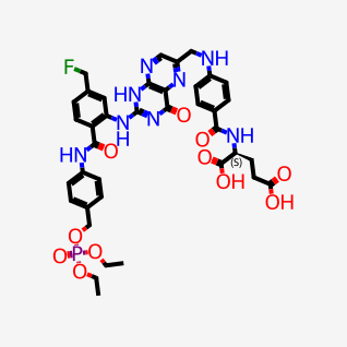 CCOP(=O)(OCC)OCc1ccc(NC(=O)c2ccc(CF)cc2Nc2nc(=O)c3nc(CNc4ccc(C(=O)N[C@@H](CCC(=O)O)C(=O)O)cc4)cnc3[nH]2)cc1